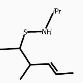 CC=CC(C)C(C)SNC(C)C